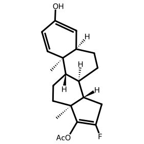 CC(=O)OC1=C(F)C[C@H]2[C@@H]3CC[C@@H]4C=C(O)C=C[C@]4(C)[C@H]3CC[C@]12C